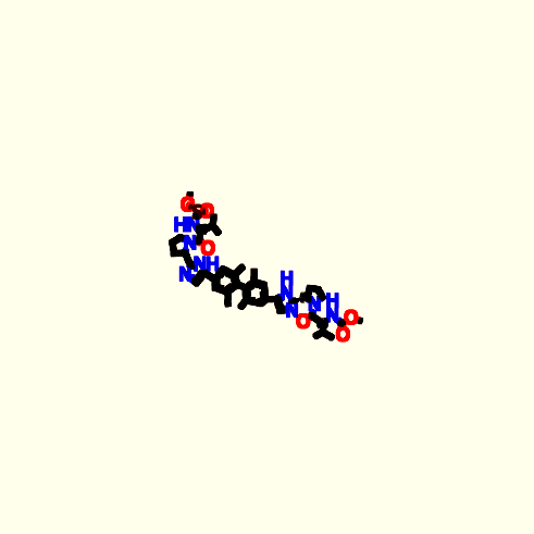 COC(=O)N[C@H](C(=O)N1CCC[C@H]1c1ncc(-c2cc(C)c(-c3c(C)cc(-c4cnc(C5CCCN5C(=O)[C@@H](NS(=O)OC)C(C)C)[nH]4)cc3C)c(C)c2)[nH]1)C(C)C